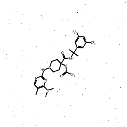 Cc1cnc(NC2CCC(OC(=O)C(F)(F)F)(C(=O)NC(C)(C)c3cc(C(F)(F)F)cc(C(F)(F)F)c3)CC2)nc1N(C)C